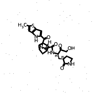 Cc1cc2[nH]c(C(=O)N3C4CCC(CC4)[C@H]3C(=O)N[C@H](C[C@H]3CCNC3=O)C(=O)CO)cc2s1